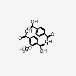 O.O.O=C(O)c1ccc(C(=O)O)cc1.O=C(O)c1ccc(C(=O)O)cc1